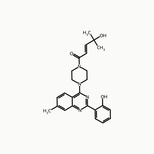 Cc1ccc2c(N3CCN(C(=O)C=CC(C)(C)O)CC3)nc(-c3ccccc3O)nc2c1